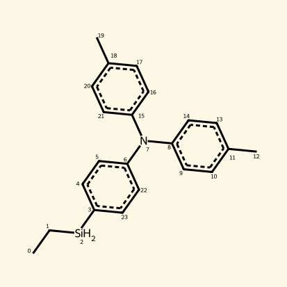 CC[SiH2]c1ccc(N(c2ccc(C)cc2)c2ccc(C)cc2)cc1